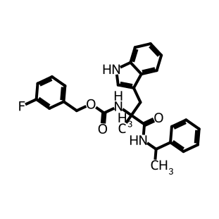 CC(NC(=O)C(C)(Cc1c[nH]c2ccccc12)NC(=O)OCc1cccc(F)c1)c1ccccc1